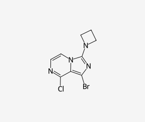 Clc1nccn2c(N3CCC3)nc(Br)c12